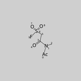 CC(=O)N(C)C(=O)CS(=O)(=O)F